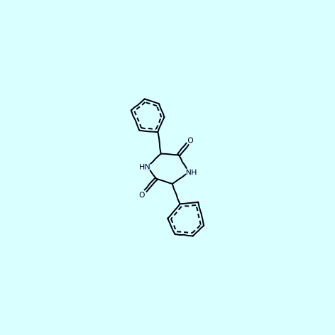 O=C1NC(c2ccccc2)C(=O)NC1c1ccccc1